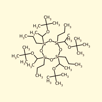 CCC[Si]1(C(C)OC(C)(C)C)O[Si](CCC)(C(C)OC(C)(C)C)O[Si](CCC)(C(C)OC(C)(C)C)O[Si](CCC)(C(C)OC(C)(C)C)O1